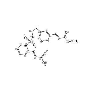 COC(=O)/C=C/c1cnc2c(c1)CCN2S(=O)(=O)c1ccccc1C=CC(=O)O